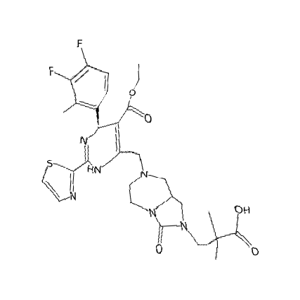 CCOC(=O)C1=C(CN2CCN3C(=O)N(CC(C)(C)C(=O)O)CC3C2)NC(c2nccs2)=N[C@H]1c1ccc(F)c(F)c1C